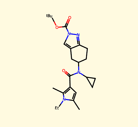 CCn1c(C)cc(C(=O)N(C2CC2)C2CCc3nn(C(=O)OC(C)(C)C)cc3C2)c1C